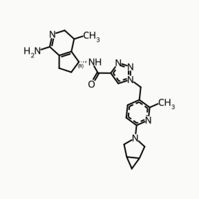 Cc1nc(N2CC3CC3C2)ccc1Cn1cc(C(=O)N[C@@H]2CCC3=C2C(C)CN=C3N)nn1